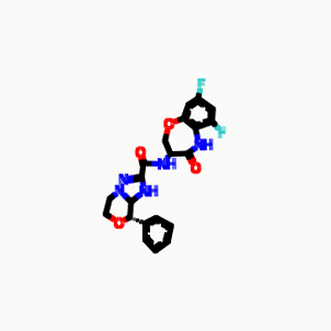 O=C(N[C@H]1COc2cc(F)cc(F)c2NC1=O)C1=NN2CCO[C@@H](c3ccccc3)C2N1